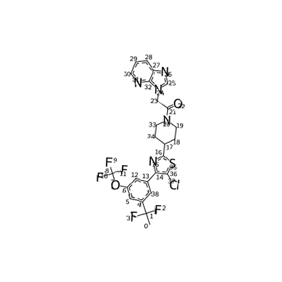 CC(F)(F)c1cc(OC(F)(F)F)cc(-c2nc(C3CCN(C(=O)Cn4cnc5cccnc54)CC3)sc2Cl)c1